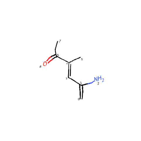 C=C(N)/C=C(\C)C(C)=O